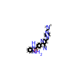 CN(C)CCN1CCN(Cc2cnc(-c3ccc(C(=O)Nc4ccccc4N)cc3)c(C#N)c2)CC1